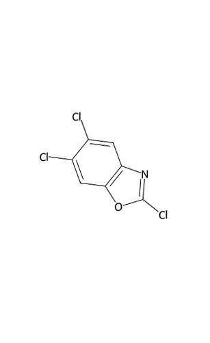 Clc1nc2cc(Cl)c(Cl)cc2o1